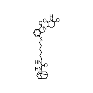 O=C1CCC(N2Cc3c(SCCCCCCNC(=O)NC45CC6CC(CC(C6)C4)C5)cccc3C2=O)C(=O)N1